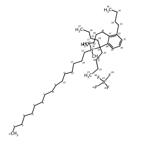 CCCCCCCCCCCCCCCC[N+](C)(C)C(CCCC)(CCCC)c1cccc(CCCC)c1CCCC.F[B-](F)(F)F